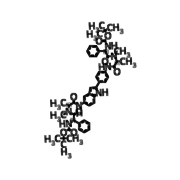 C[C@@H](C(=O)Nc1ccc(-c2cc3cc(NC(=O)[C@H](C)N(C)C(=O)[C@H](NC(=O)OC(C)(C)C)c4ccccc4)ccc3[nH]2)cc1)N(C)C(=O)[C@H](NC(=O)OC(C)(C)C)c1ccccc1